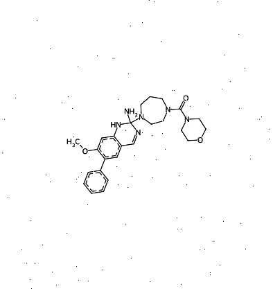 COc1cc2c(cc1-c1ccccc1)C=NC(N)(N1CCCN(C(=O)N3CCOCC3)CC1)N2